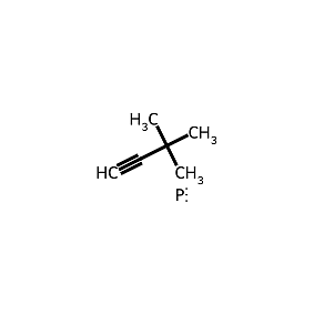 C#CC(C)(C)C.[P]